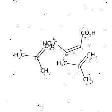 C=C(C)C.C=C(C)C.O=C(O)/C=C\C(=O)O